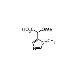 CO[C@H](C(=O)O)c1cncn1C